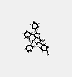 COc1ccc(-c2c(Nc3ccccn3)[nH]c3c(-c4ccccc4F)c(-c4ccccc4)nn3c2=O)cc1